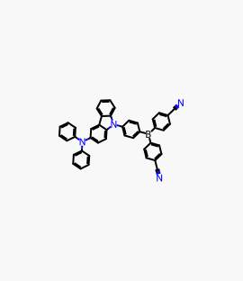 N#Cc1ccc(B(c2ccc(C#N)cc2)c2ccc(-n3c4ccccc4c4cc(N(c5ccccc5)c5ccccc5)ccc43)cc2)cc1